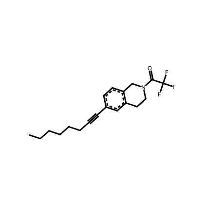 CCCCCCC#Cc1ccc2c(c1)CCN(C(=O)C(F)(F)F)C2